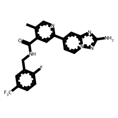 Cc1cnc(-c2ccn3nc(N)nc3c2)cc1C(=O)NCc1cc(C(F)(F)F)ccc1F